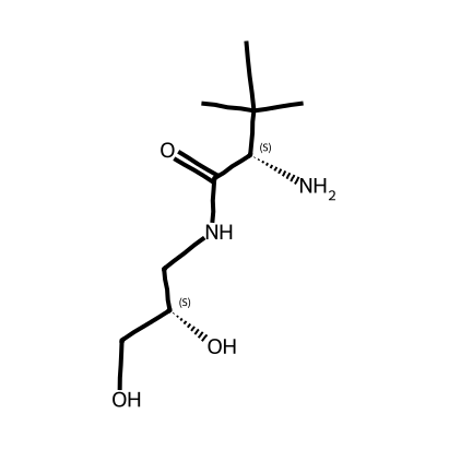 CC(C)(C)[C@H](N)C(=O)NC[C@H](O)CO